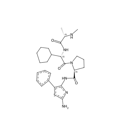 CN[C@@H](C)C(=O)N[C@H](C(=O)N1CCC[C@H]1C(=O)Nc1nc(N)sc1-c1ccccc1)C1CCCCC1